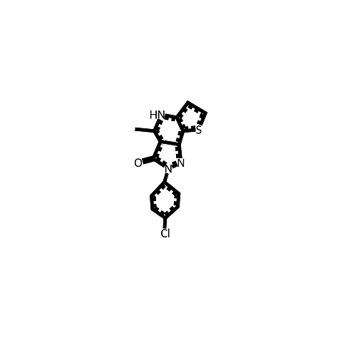 Cc1[nH]c2ccsc2c2nn(-c3ccc(Cl)cc3)c(=O)c1-2